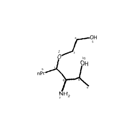 CCCC(OCCO)C(N)C(C)O